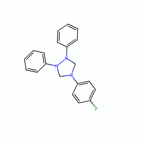 Fc1ccc(N2CN(c3ccccc3)N(c3ccccc3)C2)cc1